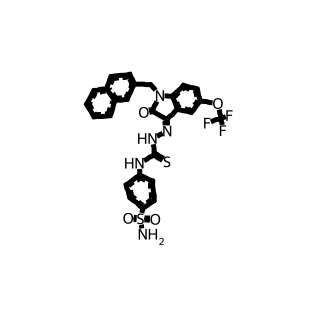 NS(=O)(=O)c1ccc(NC(=S)NN=C2C(=O)N(Cc3ccc4ccccc4c3)c3ccc(OC(F)(F)F)cc32)cc1